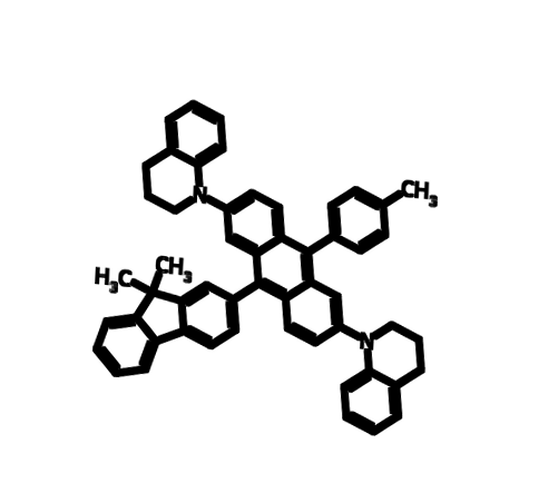 Cc1ccc(-c2c3ccc(N4CCCc5ccccc54)cc3c(-c3ccc4c(c3)C(C)(C)c3ccccc3-4)c3ccc(N4CCCc5ccccc54)cc23)cc1